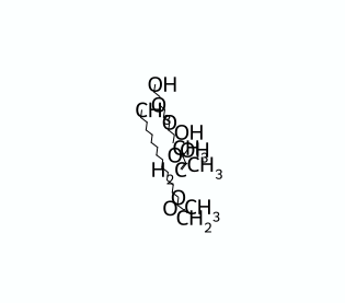 C=C(C)C(=O)O.C=C(C)C(=O)OCCCCCCCCCCCCCC.CCC(O)COCCOCCO